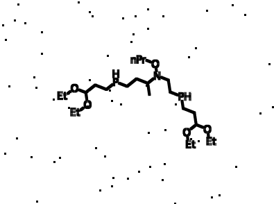 CCCON(CCPCCC(OCC)OCC)C(C)CCPCCC(OCC)OCC